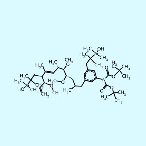 C=C[C@H](OC)[C@@H](CC(C)(C)[Si](C)(C)O)/C(C)=C/[C@H](C)[C@@H](OC)[C@H](C[C@H](C)Cc1cc(CC(C)(C)[Si](C)(C)O)cc(N(C(=O)OC(C)(C)C)C(=O)OC(C)(C)C)c1)OC